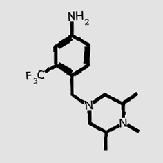 CC1CN(Cc2ccc(N)cc2C(F)(F)F)CC(C)N1C